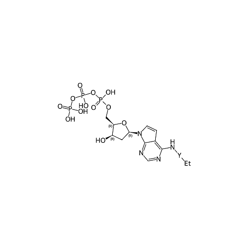 C[CH2][Y][NH]c1ncnc2c1ccn2[C@H]1C[C@@H](O)[C@@H](COP(=O)(O)OP(=O)(O)OP(=O)(O)O)O1